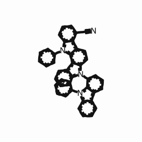 N#Cc1cccc2c1c1ccc3c(c4ccccc4n3-c3cccc4c5ccccc5n(-c5ccccc5)c34)c1n2-c1ccccc1